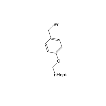 CCCCCCCCOc1ccc(CC(C)C)cc1